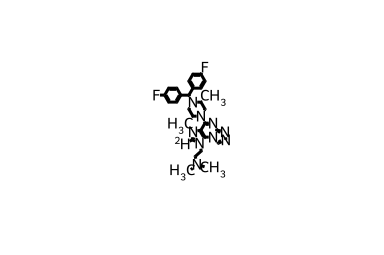 [2H]c1nc2c(N3C[C@@H](C)N(C(c4ccc(F)cc4)c4ccc(F)cc4)C[C@@H]3C)nc3nncn3c2n1CCN(C)C